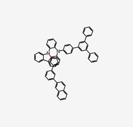 c1ccc(-c2cc(-c3ccccc3)cc(-c3ccc(N(c4ccc(-c5cccc(-c6ccc7ccccc7c6)c5)cc4)c4ccccc4-n4c5ccccc5c5ccccc54)cc3)c2)cc1